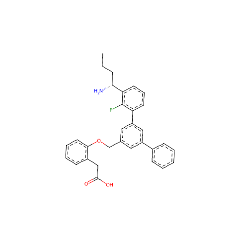 CCC[C@@H](N)c1cccc(-c2cc(COc3ccccc3CC(=O)O)cc(-c3ccccc3)c2)c1F